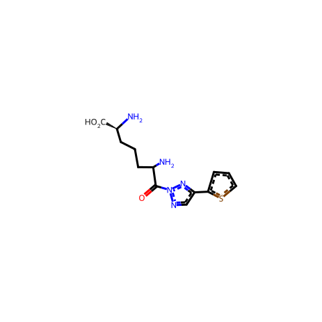 NC(CCC[C@H](N)C(=O)O)C(=O)n1ncc(-c2cccs2)n1